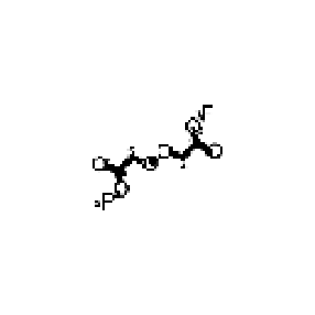 O=C(COOCC(=O)OF)OF